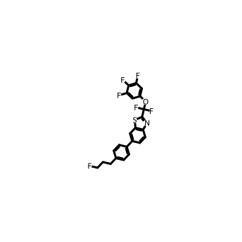 FCCCc1ccc(-c2ccc3nc(C(F)(F)Oc4cc(F)c(F)c(F)c4)sc3c2)cc1